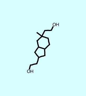 CC1(CCO)CCC2CC(CCO)CC2C1